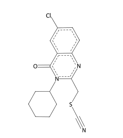 N#CSCc1nc2ccc(Cl)cc2c(=O)n1C1CCCCC1